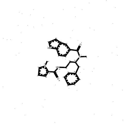 CN(C(=O)c1ccc2[nH]ccc2c1)C(CCNC(=O)c1cccn1C)Cc1ccccc1